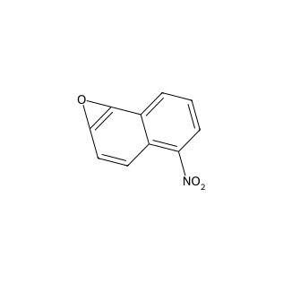 O=[N+]([O-])c1cccc2c3c(ccc12)O3